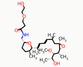 CO[C@H]([C@@H](C)[C@H]1O[C@]1(C)CC(C)/C=C/C=C(\C)[C@H]1O[C@@H](CNC(=O)CCOCCO)CC[C@@H]1C)[C@@H](C)O